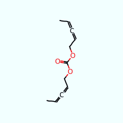 CC=C=CCOC(=O)OCC=C=CC